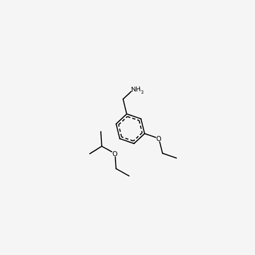 CCOC(C)C.CCOc1cccc(CN)c1